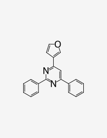 c1ccc(-c2cc(-c3ccoc3)nc(-c3ccccc3)n2)cc1